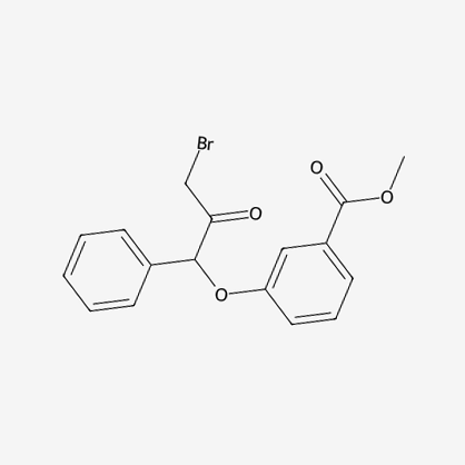 COC(=O)c1cccc(OC(C(=O)CBr)c2ccccc2)c1